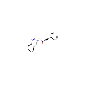 O=C(C#Cc1ccccc1)Nc1cnc2ccccc2c1